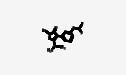 CN(C)C1=C(c2cccc(SC(F)F)c2)C(=O)C(Br)O1